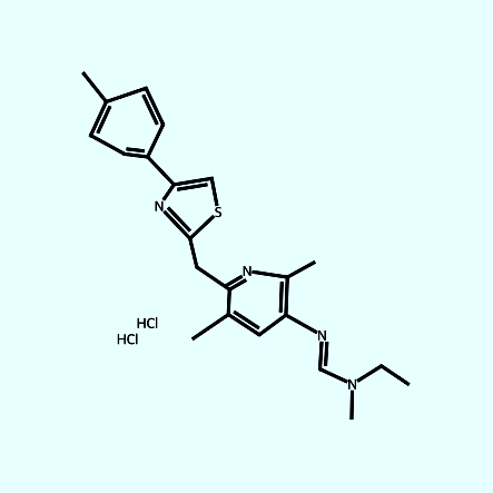 CCN(C)C=Nc1cc(C)c(Cc2nc(-c3ccc(C)cc3)cs2)nc1C.Cl.Cl